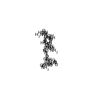 CC(C)[C@H](NC(=O)CCN1C(=O)C=CC1=O)C(=O)N[C@@H](CCCNC(N)=O)C(=O)Nc1ccc(COC(=O)N(C)CCOC(=O)O[C@@H]2[C@@H]3O[P@](=O)(S)OC[C@H]4O[C@@H](n5cnc6c(=O)[nH]c(N)nc65)[C@H](O)[C@@H]4O[P@@](=O)(S)OC[C@H]3O[C@H]2n2cnc3c(N)ncnc32)cc1